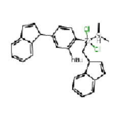 CCCCc1cc(C2C=Cc3ccccc32)cc[c]1[Zr]([Cl])([Cl])([CH2]C1C=Cc2ccccc21)[SiH](C)C